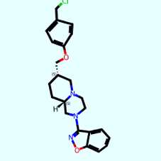 ClCc1ccc(OC[C@H]2CC[C@H]3CN(c4noc5ccccc45)CCN3C2)cc1